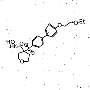 CCOCCOc1ccc(-c2ccc(S(=O)(=O)C3(C(=O)NO)CCOCC3)cc2)cc1